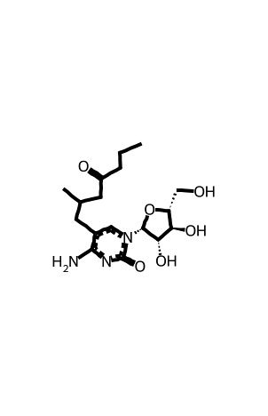 CCCC(=O)CC(C)Cc1cn([C@@H]2O[C@H](CO)[C@@H](O)[C@@H]2O)c(=O)nc1N